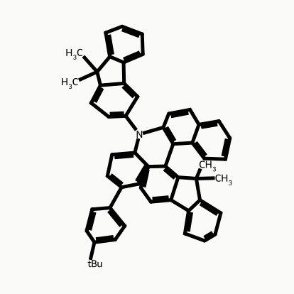 CC(C)(C)c1ccc(-c2ccc(N(c3ccc4c(c3)-c3ccccc3C4(C)C)c3ccc4ccccc4c3-c3cccc4c3C(C)(C)c3ccccc3-4)cc2)cc1